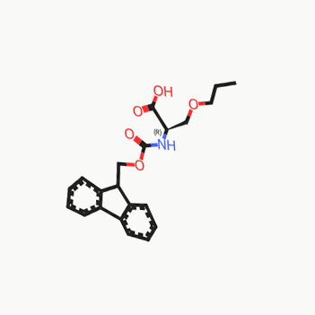 CCCOC[C@@H](NC(=O)OCC1c2ccccc2-c2ccccc21)C(=O)O